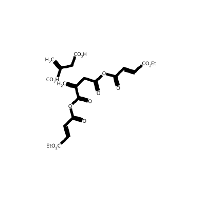 C=C(CC(=O)O)C(=O)O.C=C(CC(=O)OC(=O)/C=C/C(=O)OCC)C(=O)OC(=O)/C=C/C(=O)OCC